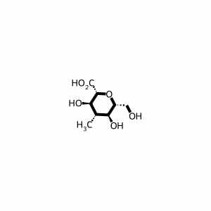 C[C@@H]1[C@@H](O)[C@H](C(=O)O)O[C@H](CO)[C@H]1O